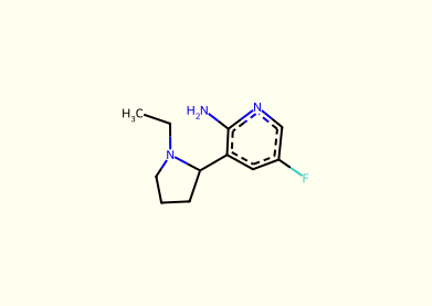 CCN1CCCC1c1cc(F)cnc1N